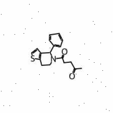 CC(=O)CCC(=O)N1CCc2sccc2C1c1ccccc1